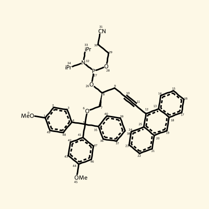 COc1ccc(C(OC[C@H](CC#Cc2c3ccccc3cc3ccccc23)OP(OCCC#N)N(C(C)C)C(C)C)(c2ccccc2)c2ccc(OC)cc2)cc1